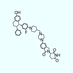 O=C1CC[C@@H](N2Cc3cc(N4CCN(CC5CCN(c6ccc([C@@H]7c8ccc(O)cc8CC[C@@H]7c7ccccc7)cc6F)CC5)CC4)ccc3C2=O)C(=O)N1